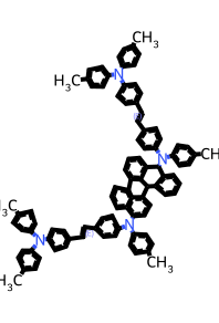 Cc1ccc(N(c2ccc(C)cc2)c2ccc(/C=C/c3ccc(N(c4ccc(C)cc4)c4ccc5c6c(cccc46)-c4cccc6c4C5c4ccccc4C6N(c4ccc(C)cc4)c4ccc(/C=C/c5ccc(N(c6ccc(C)cc6)c6ccc(C)cc6)cc5)cc4)cc3)cc2)cc1